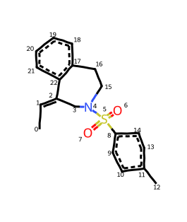 CC=C1CN(S(=O)(=O)c2ccc(C)cc2)CCc2ccccc21